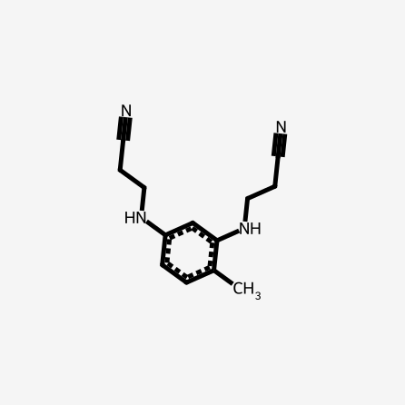 Cc1ccc(NCCC#N)cc1NCCC#N